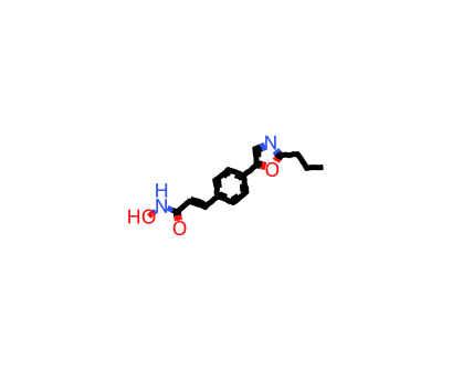 CCCc1ncc(-c2ccc(/C=C/C(=O)NO)cc2)o1